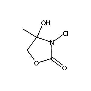 CC1(O)COC(=O)N1Cl